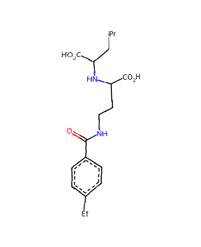 CCc1ccc(C(=O)NCCC(NC(CC(C)C)C(=O)O)C(=O)O)cc1